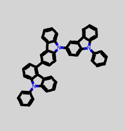 c1ccc(-n2c3ccccc3c3cc(-n4c5ccccc5c5cc(-c6cccc7c6c6ccccc6n7-c6ccccc6)ccc54)ccc32)cc1